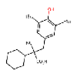 CC(C)(C)c1cc(CC(C#N)(C(=O)O)C2CCCCC2)cc(C(C)(C)C)c1O